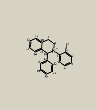 Ic1ccccc1N1CCc2ccccc2C1c1ccccc1